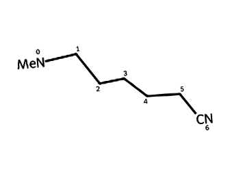 CNCCCCCC#N